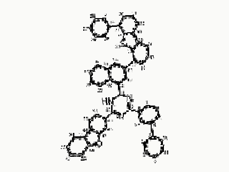 c1ccc(-c2cccc(C3=NC(c4cc(-c5cccc6c5sc5c(-c7ccccc7)cccc56)cc5ccccc45)NC(c4ccc5c(c4)oc4ccccc45)=N3)c2)cc1